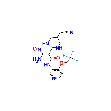 N#CCC1CNC(C(C(=O)Nc2cnccc2OCC(F)(F)F)C(N)N=O)NC1